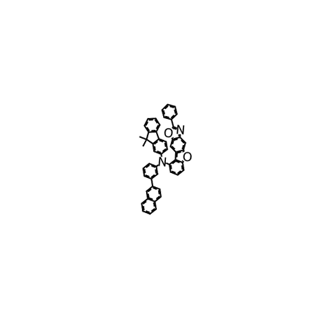 CC1(C)c2ccccc2-c2ccc(N(c3cccc(-c4ccc5ccccc5c4)c3)c3cccc4oc5cc6nc(-c7ccccc7)oc6cc5c34)cc21